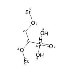 CCOCC(OCC)[SH](=O)(O)O